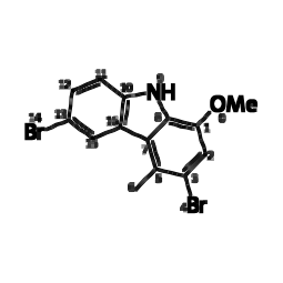 COc1cc(Br)c(C)c2c1[nH]c1ccc(Br)cc12